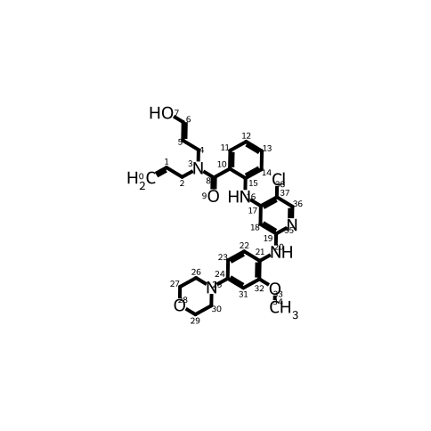 C=CCN(CC=CO)C(=O)c1ccccc1Nc1cc(Nc2ccc(N3CCOCC3)cc2OC)ncc1Cl